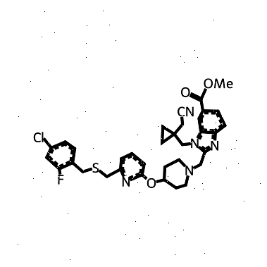 COC(=O)c1ccc2nc(CN3CCC(Oc4cccc(CSCc5ccc(Cl)cc5F)n4)CC3)n(CC3(CC#N)CC3)c2c1